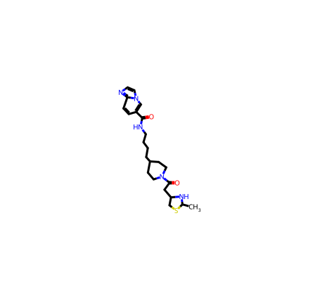 CC1NC(CC(=O)N2CCC(CCCCNC(=O)c3ccc4nccn4c3)CC2)CS1